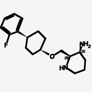 N[C@H]1CCCN[C@H]1CO[C@H]1CC[C@@H](c2ccccc2F)CC1